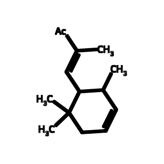 CC(=O)C(C)=CC1C(C)C=CCC1(C)C